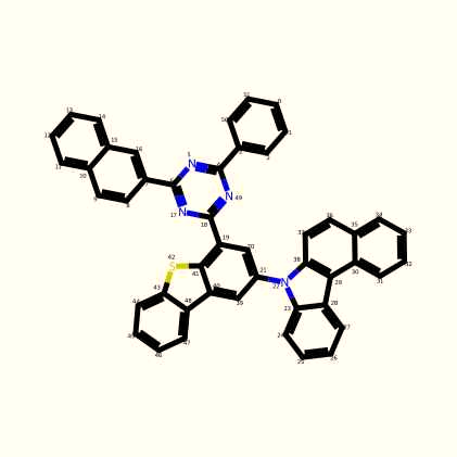 c1ccc(-c2nc(-c3ccc4ccccc4c3)nc(-c3cc(-n4c5ccccc5c5c6ccccc6ccc54)cc4c3sc3ccccc34)n2)cc1